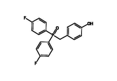 O=P(Cc1ccc(O)cc1)(c1ccc(F)cc1)c1ccc(F)cc1